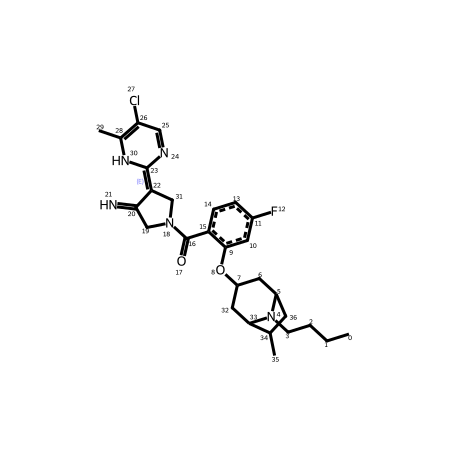 CCCCN1C2CC(Oc3cc(F)ccc3C(=O)N3CC(=N)/C(=C4/N=CC(Cl)=C(C)N4)C3)CC1C(C)C2